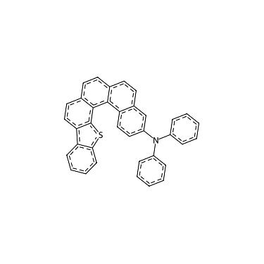 c1ccc(N(c2ccccc2)c2ccc3c(ccc4ccc5ccc6c7ccccc7sc6c5c43)c2)cc1